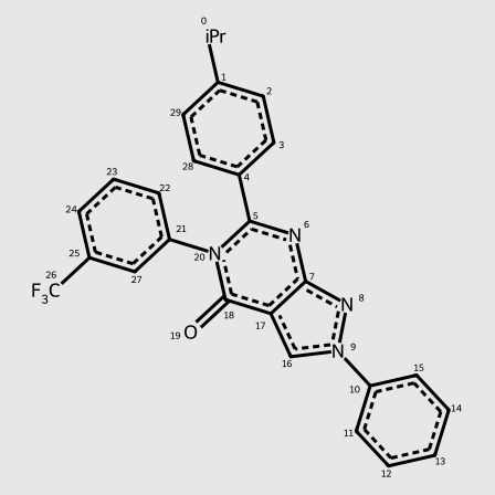 CC(C)c1ccc(-c2nc3nn(-c4ccccc4)cc3c(=O)n2-c2cccc(C(F)(F)F)c2)cc1